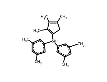 CC1=C(C)C(C)=C([SiH](c2cc(C)cc(C)c2)c2cc(C)cc(C)c2)C1